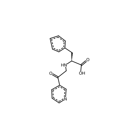 O=C(CN[C@@H](Cc1ccccc1)C(=O)O)c1cccnc1